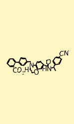 CC(NC(=O)c1ccc2c(c1)OCCN2Cc1ccc(-c2ccccc2C(=O)O)cc1)c1ccc(C#N)cc1